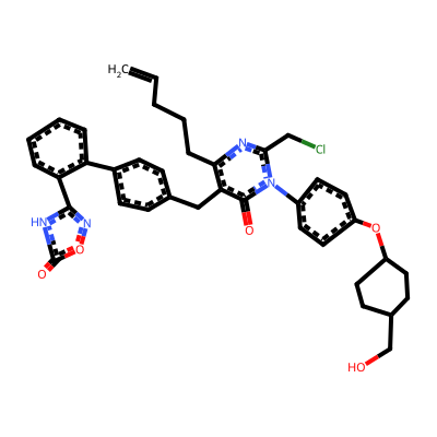 C=CCCCc1nc(CCl)n(-c2ccc(OC3CCC(CO)CC3)cc2)c(=O)c1Cc1ccc(-c2ccccc2-c2noc(=O)[nH]2)cc1